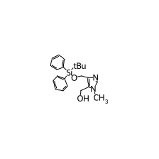 Cn1cnc(CO[Si](c2ccccc2)(c2ccccc2)C(C)(C)C)c1CO